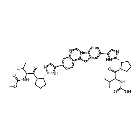 COC(=O)N[C@H](C(=O)N1CCC[C@H]1c1ncc(-c2ccc3c(c2)ncn2c4ccc(-c5cnc([C@@H]6CCCN6C(=O)[C@@H](NC(=O)O)C(C)C)[nH]5)cc4cc32)[nH]1)C(C)C